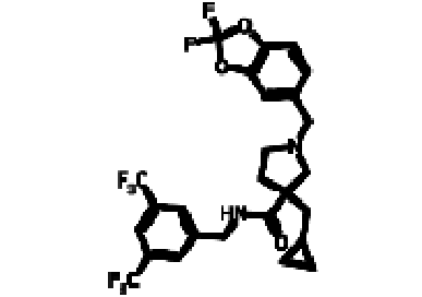 O=C(NCc1cc(C(F)(F)F)cc(C(F)(F)F)c1)C1(CC2CC2)CCN(Cc2ccc3c(c2)OC(F)(F)O3)C1